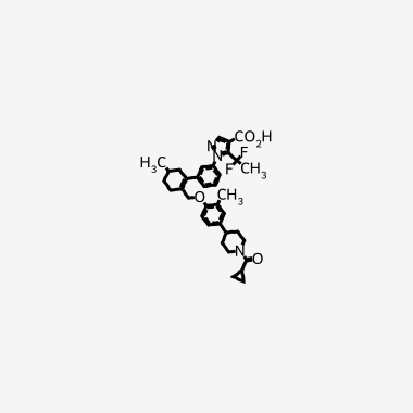 Cc1cc(C2CCN(C(=O)C3CC3)CC2)ccc1OCC1=C(c2cccc(-n3ncc(C(=O)O)c3C(C)(F)F)c2)CC(C)CC1